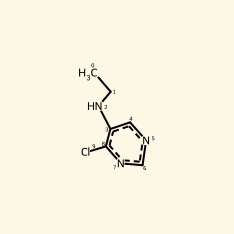 CCNc1cncnc1Cl